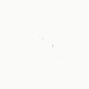 Nc1ccccc1-c1ccc(C(=O)N[C@@H](Cc2c[nH]cn2)C(=O)NO)cc1